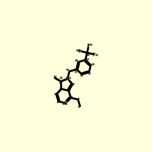 CCC1=NC=CC2C1=CN(Cc1cccc(C(F)(F)F)c1)N2C